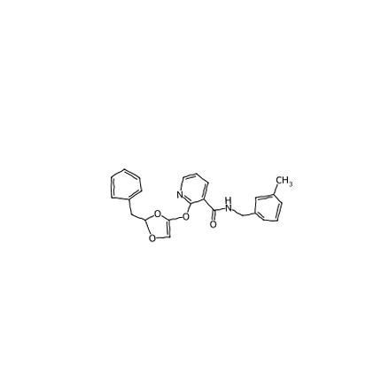 Cc1cccc(CNC(=O)c2cccnc2OC2=COC(Cc3ccccc3)O2)c1